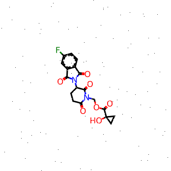 O=C1CCC(N2C(=O)c3ccc(F)cc3C2=O)C(=O)N1COC(=O)C1(O)CC1